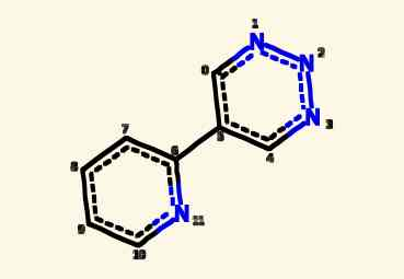 [c]1nnncc1-c1ccccn1